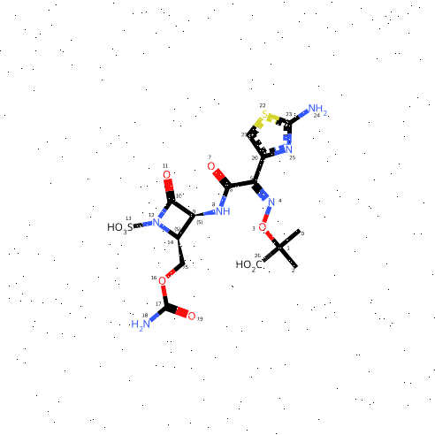 CC(C)(ON=C(C(=O)N[C@@H]1C(=O)N(S(=O)(=O)O)[C@@H]1COC(N)=O)c1csc(N)n1)C(=O)O